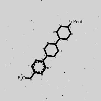 CCCCCC1CCC(C2CCC(c3ccc(CC(F)(F)F)cc3)CC2)CC1